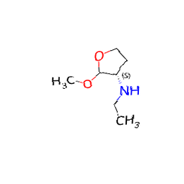 CCN[C@H]1CCOC1OC